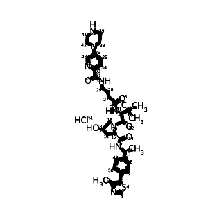 Cc1ncsc1-c1ccc([C@H](C)NC(=O)[C@@H]2C[C@@H](O)CN2C(=O)[C@@H](NC(=O)CCCNC(=O)c2ccc(N3CCNCC3)cn2)C(C)(C)C)cc1.Cl